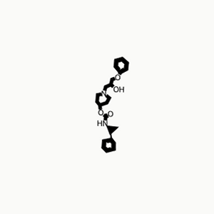 O=C(N[C@@H]1C[C@H]1c1ccccc1)OC1CCN(CC(O)COc2ccccc2)CC1